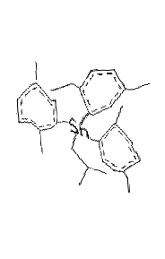 Cc1ccc(C)[c]([Sn]([CH2]C(C)C)([c]2cc(C)ccc2C)[c]2cc(C)ccc2C)c1